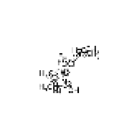 Cc1sc2c(c1C)C(c1ccc(-c3ccc(OCC(=O)OC(C)(C)C)cc3OC(F)(F)F)cc1)=N[C@@H](CC(=O)O)c1nnc(C)n1-2